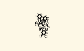 CC(CC(F)(C=O)O[Si](c1ccccc1)(c1ccccc1)C(C)(C)C)OS(=O)(=O)c1cc(Cl)c(Cl)cc1Cl